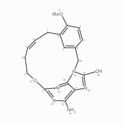 COc1ccc2cc1C/C=C\CCOc1nc(N)c3nc(O)n(c3n1)C2